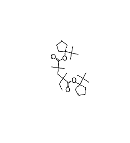 CCC(C)(CC(C)(C)C(=O)OC1(C(C)(C)C)CCCC1)C(=O)OC1(C(C)(C)C)CCCC1